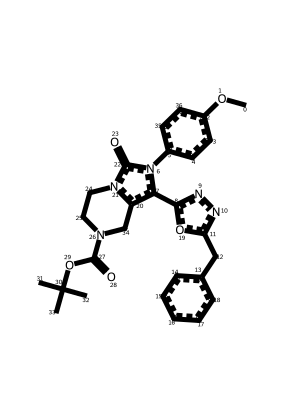 COc1ccc(-n2c(-c3nnc(Cc4ccccc4)o3)c3n(c2=O)CCN(C(=O)OC(C)(C)C)C3)cc1